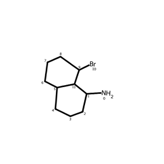 NC1CCCC2CCCC(Br)C12